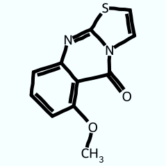 COc1cccc2nc3sccn3c(=O)c12